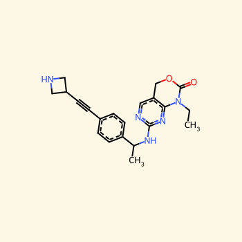 CCN1C(=O)OCc2cnc(NC(C)c3ccc(C#CC4CNC4)cc3)nc21